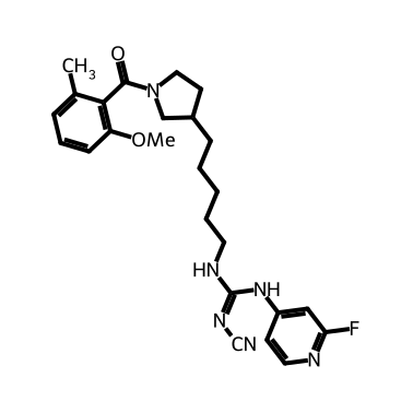 COc1cccc(C)c1C(=O)N1CCC(CCCCCN/C(=N/C#N)Nc2ccnc(F)c2)C1